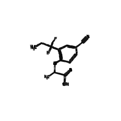 CCC(F)(F)c1cc(C#N)ccc1OC(C)C(=O)O